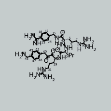 CC(C)[C@H](NN[C@@H](CCCNC(N)N)C(=O)NCc1ccc(C(=N)N)cc1)C(=O)N[C@@H](CCCNC(N)N)C(=O)C(=O)Cc1ccc(CN)cc1